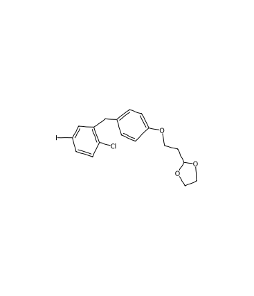 Clc1ccc(I)cc1Cc1ccc(OCCC2OCCO2)cc1